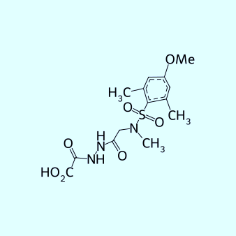 COc1cc(C)c(S(=O)(=O)N(C)CC(=O)NNC(=O)C(=O)O)c(C)c1